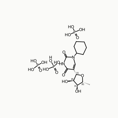 C[C@H]1O[C@@H](c2cn(C3CCCCC3)c(=O)[nH]c2=O)[C@H](O)[C@@H]1O.O=P(O)(O)O.O=P(O)(O)O.O=P(O)(O)O